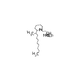 CCCCCCCCC(C)C1CCCCN1CCC.Cl.Cl